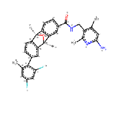 CCCc1cc(N)nc(C)c1CNC(=O)c1ccc2c(c1)[C@@H]1O[C@H]2c2ccc(-c3c(C)cc(F)cc3F)cc21